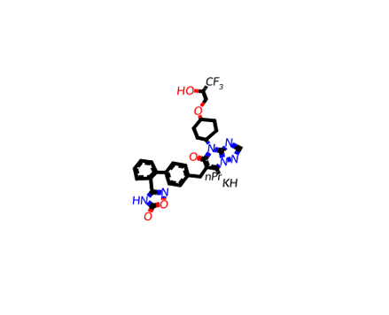 CCCc1c(Cc2ccc(-c3ccccc3-c3noc(=O)[nH]3)cc2)c(=O)n(C2CCC(OCC(O)C(F)(F)F)CC2)c2ncnn12.[KH]